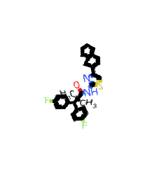 CC(C)(C(=O)Nc1nc(-c2ccc3ccccc3c2)cs1)C(c1ccc(F)cc1)c1ccc(F)cc1